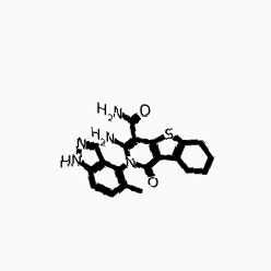 Cc1ccc2[nH]ncc2c1-n1c(N)c(C(N)=O)c2sc3c(c2c1=O)CCCC3